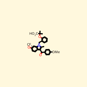 COc1ccc(C(=O)c2c(C)n(Cc3ccccc3OC(C)(C)C(=O)O)c3cc(OC(F)(F)F)ccc23)cc1